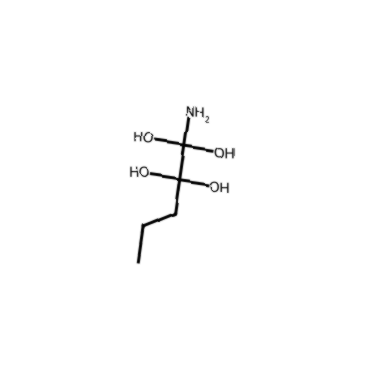 CCCC(O)(O)C(N)(O)O